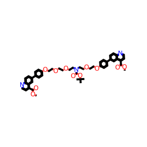 COC(=O)c1ccnc2ccc(-c3ccc(OCCOCCOCCN(CCOCCOc4ccc(-c5ccc6nccc(C(=O)OC)c6c5)cc4)C(=O)OC(C)(C)C)cc3)cc12